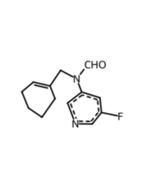 O=CN(CC1=CCCCC1)c1cncc(F)c1